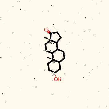 C[C@]12CC[C@@H](O)CC1CCC1C2CC[C@]2(C)C(=O)CCC12